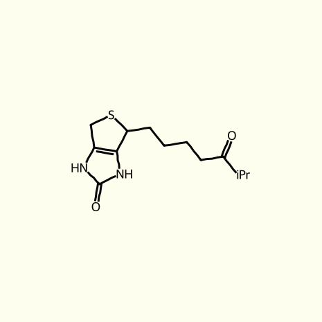 CC(C)C(=O)CCCCC1SCc2[nH]c(=O)[nH]c21